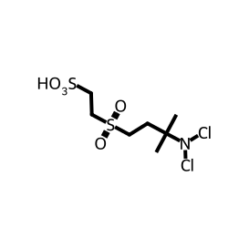 CC(C)(CCS(=O)(=O)CCS(=O)(=O)O)N(Cl)Cl